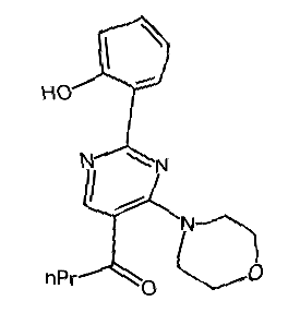 CCCC(=O)c1cnc(-c2ccccc2O)nc1N1CCOCC1